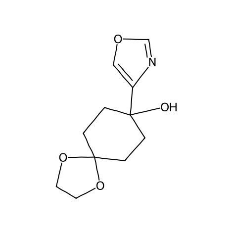 OC1(c2cocn2)CCC2(CC1)OCCO2